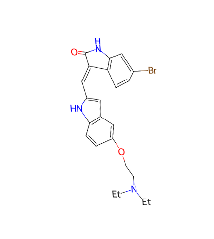 CCN(CC)CCOc1ccc2[nH]c(/C=C3/C(=O)Nc4cc(Br)ccc43)cc2c1